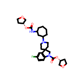 O=C(NC1CCCCC(N2CCC3(CC2)CN(C(=O)O[C@@H]2CCOC2)c2ccc(F)cc23)C1)O[C@@H]1CCOC1